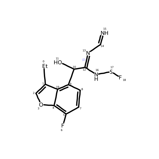 CCc1coc2c(F)ccc(C(O)/C(=N/C=N)NSF)c12